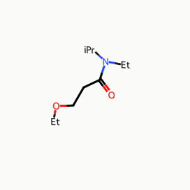 CCOCCC(=O)N(CC)C(C)C